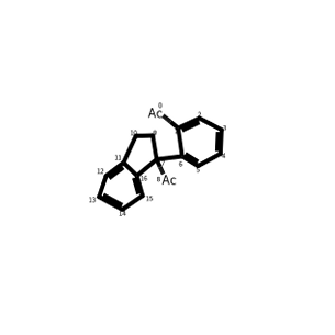 CC(=O)c1ccccc1C1(C(C)=O)CCc2ccccc21